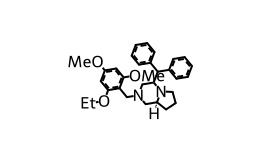 CCOc1cc(OC)cc(OC)c1CN1CC(C(c2ccccc2)c2ccccc2)N2CCC[C@H]2C1